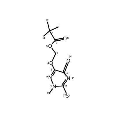 Cn1nc(OCOC(=O)C(C)(C)C)c(=O)nc1[S]